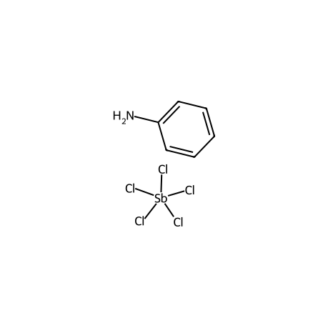 Nc1ccccc1.[Cl][Sb]([Cl])([Cl])([Cl])[Cl]